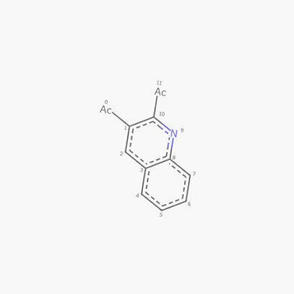 CC(=O)c1cc2ccccc2nc1C(C)=O